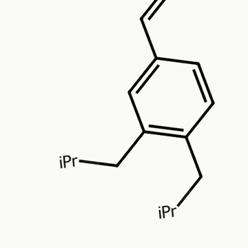 C=Cc1ccc(CC(C)C)c(CC(C)C)c1